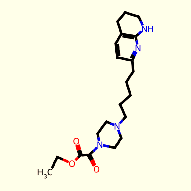 CCOC(=O)C(=O)N1CCN(CCCCCc2ccc3c(n2)NCCC3)CC1